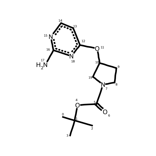 CC(C)(C)OC(=O)N1CCC(Oc2ccnc(N)n2)C1